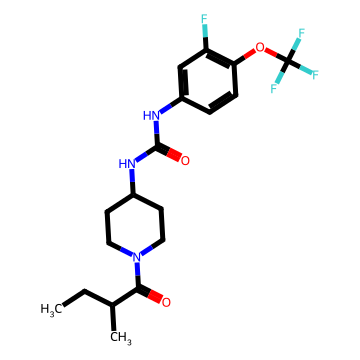 CCC(C)C(=O)N1CCC(NC(=O)Nc2ccc(OC(F)(F)F)c(F)c2)CC1